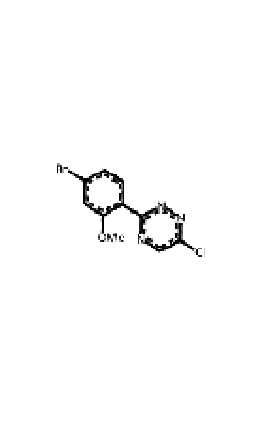 COc1cc(Br)ccc1-c1ncc(Cl)nn1